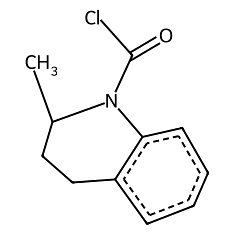 CC1CCc2ccccc2N1C(=O)Cl